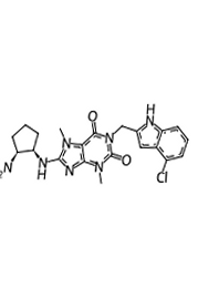 Cn1c(N[C@@H]2CCC[C@@H]2N)nc2c1c(=O)n(Cc1cc3c(Cl)cccc3[nH]1)c(=O)n2C